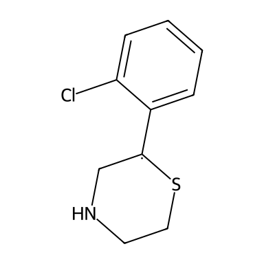 Clc1ccccc1[C]1CNCCS1